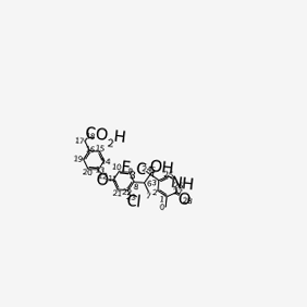 Cc1cc(C(O)(C(C)c2ccc(Oc3ccc(CC(=O)O)cc3)cc2Cl)C(F)(F)F)c[nH]c1=O